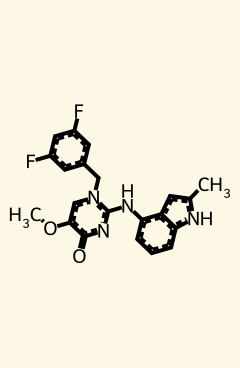 COc1cn(Cc2cc(F)cc(F)c2)c(Nc2cccc3[nH]c(C)cc23)nc1=O